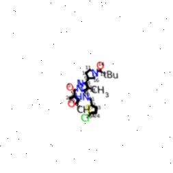 Cc1cc(C(=O)n2nc(C3CCN(C(=O)C(C)(C)C)C3)c(C)c2NCc2ccc(Cl)s2)co1